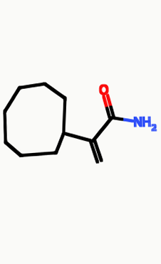 C=C(C(N)=O)C1CCCCCCC1